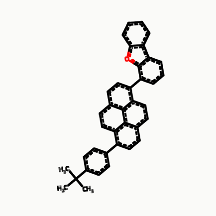 CC(C)(C)c1ccc(-c2ccc3ccc4c(-c5cccc6c5oc5ccccc56)ccc5ccc2c3c54)cc1